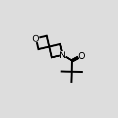 CC(C)(C)C(=O)N1CC2(COC2)C1